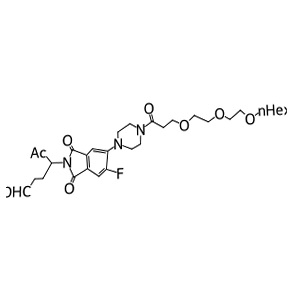 CCCCCCOCCOCCOCCC(=O)N1CCN(c2cc3c(cc2F)C(=O)N(C(CCC=O)C(C)=O)C3=O)CC1